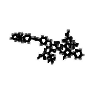 COC(=O)N[C@H](C(=O)N[C@@H](Cc1ccc(C#Cc2ccc(N3CC4CCC(C3)N4C(C)C)nc2)cc1)[C@@H](O)CN(Cc1c(F)cc(-c2ccccn2)cc1F)NC(=O)[C@@H](NC(=O)OC)C(C)(C)C(F)(F)F)C(C)(C)C(F)(F)F